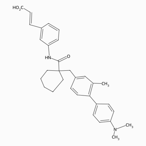 Cc1cc(CC2(C(=O)Nc3cccc(/C=C/C(=O)O)c3)CCCCC2)ccc1-c1ccc(N(C)C)cc1